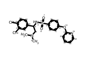 CN(C)CC(NS(=O)(=O)c1ccc(Oc2ccccn2)cc1)c1ccc(Cl)c(Cl)c1